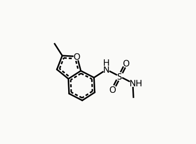 CNS(=O)(=O)Nc1cccc2cc(C)oc12